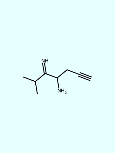 C#CCC(N)C(=N)C(C)C